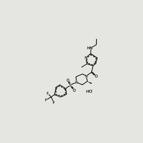 CCNc1ccc(C(=O)N2CCN(S(=O)(=O)c3ccc(C(F)(F)F)cc3)C[C@@H]2C)c(C)n1.Cl